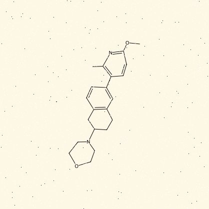 COc1ccc(-c2ccc3c(c2)CCC(N2CCOCC2)C3)c(C)n1